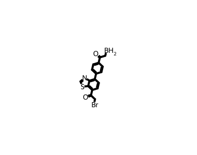 BCC(=O)c1ccc(-c2ccc(C(=O)CBr)c3scnc23)cc1